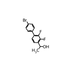 CC(O)c1ccc(-c2ccc(Br)cc2)c(F)c1F